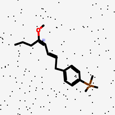 CCC/C(=C\C=CCc1ccc(S(C)(C)C)cc1)OC